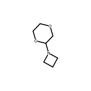 C1CN([C]2COCCO2)C1